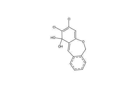 OC1(O)C2=Cc3ccccc3COC2=CC(Cl)=C1Cl